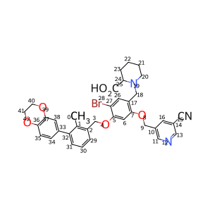 Cc1c(COc2cc(OCc3cncc(C#N)c3)c(CN3CCCCC3C(=O)O)cc2Br)cccc1-c1ccc2c(c1)OCCO2